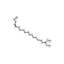 CCOC(CCCCCCCCCCCC/C=C\CCBr)OCC